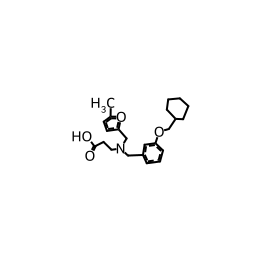 Cc1ccc(CN(CCC(=O)O)Cc2cccc(OCC3CCCCC3)c2)o1